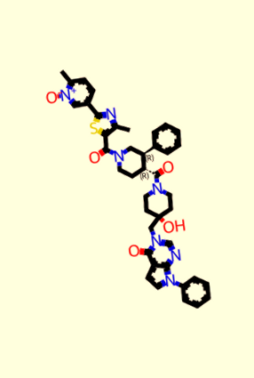 Cc1nc(-c2ccc(C)[n+]([O-])c2)sc1C(=O)N1CC[C@@H](C(=O)N2CCC(O)(Cn3cnc4c(ccn4-c4ccccc4)c3=O)CC2)[C@H](c2ccccc2)C1